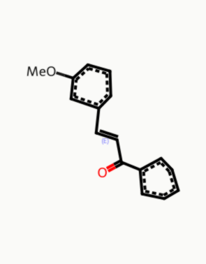 COc1cccc(/C=C/C(=O)c2ccccc2)c1